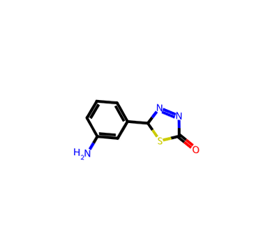 Nc1cccc(C2N=NC(=O)S2)c1